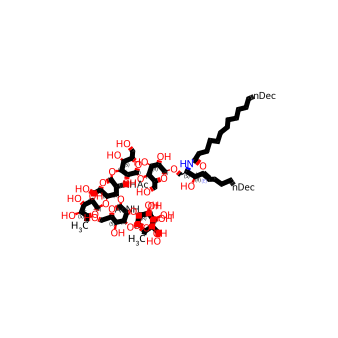 CCCCCCCCCCCCC/C=C/[C@@H](O)[C@H](CO[C@@H]1OC(CO)[C@@H](O[C@@H]2OC(CO)[C@H](O)[C@H](O[C@@H]3OC(CO)[C@@H](O[C@H]4OC(C)[C@@H](O)C(O)[C@@H]4O)[C@H](O[C@@H]4OC(CO)[C@H](O)[C@H](O[C@H]5OC(CO)[C@H](O)[C@H](O)C5NC(C)=O)C4O[C@H]4OC(C)[C@@H](O)C(O)[C@@H]4O)C3NC(C)=O)C2O)[C@H](O)C1O)NC(=O)CCCCCCCCCCCCCCCCCCCCC